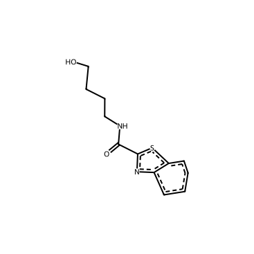 O=C(NCCCCO)c1nc2ccccc2s1